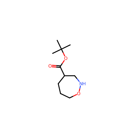 CC(C)(C)OC(=O)C1CCCONC1